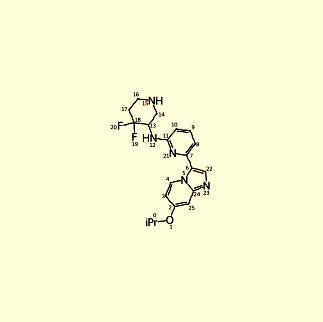 CC(C)Oc1ccn2c(-c3cccc(NC4CNCCC4(F)F)n3)cnc2c1